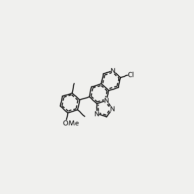 COc1ccc(C)c(-c2cc3cnc(Cl)cc3n3ncnc23)c1C